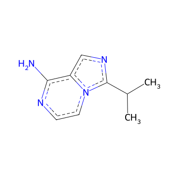 CC(C)c1ncc2c(N)nccn12